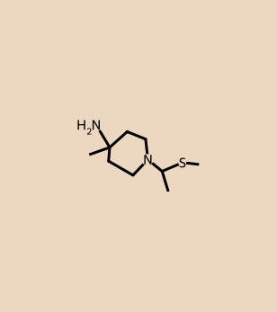 CSC(C)N1CCC(C)(N)CC1